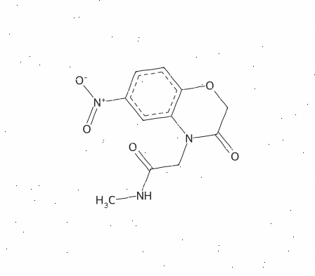 CNC(=O)CN1C(=O)COc2ccc([N+](=O)[O-])cc21